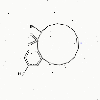 Cc1ccc2c(c1)OCCC/C=C\CCCCN(C(C)C)S2(=O)=O